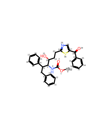 CC(C)(C)OC(=O)N[C@@H](C(Cc1ccccc1)c1ccccc1)[C@@H](O)CCc1ncc(C(=O)c2ccccc2)s1